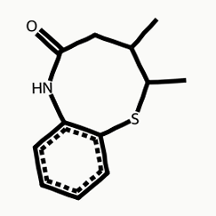 CC1CC(=O)Nc2ccccc2SC1C